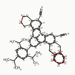 CC(C)c1cc(C(C)C)c(-c2cc3c4c5c(c(C#N)cc4n4c6cc(C#N)c7c(c6c(c2)c34)C2c3ccccc3C7c3ccccc32)C2CCC5CC2)c(C(C)C)c1